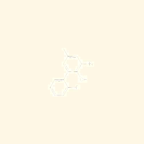 Cc1cc(Br)c(O)c(-c2ccccc2F)c1